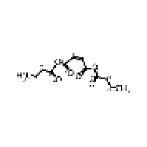 CCCC(=O)OC(=O)/C=C\C(=O)OC(=O)CCC